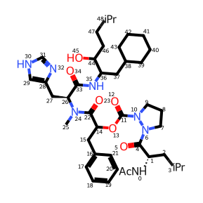 CC(=O)N[C@@H](CC(C)C)C(=O)N1CCCN1C(=O)OC(Cc1ccccc1)C(=O)N(C)[C@@H](Cc1c[nH]cn1)C(=O)NC(CC1CCCCC1)C(O)CCC(C)C